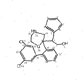 OCC(c1ccccc1)C1(c2ccccc2-c2cc(Cl)cc(Cl)c2)CNCCO1